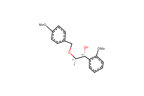 COc1ccc(CO[C@@H](C)[C@H](O)c2ccccc2OC)cc1